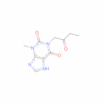 CCC(=O)Cn1c(=O)c2[nH]cnc2n(C)c1=O